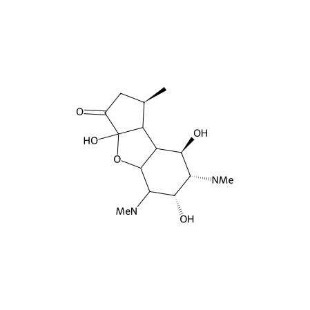 CNC1C2OC3(O)C(=O)C[C@@H](C)C3C2[C@@H](O)[C@H](NC)[C@@H]1O